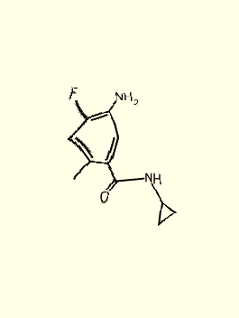 Cc1cc(F)c(N)cc1C(=O)NC1CC1